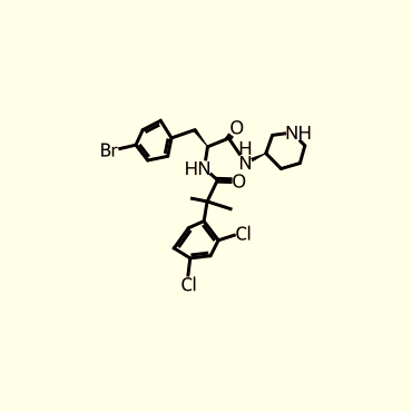 CC(C)(C(=O)N[C@@H](Cc1ccc(Br)cc1)C(=O)N[C@@H]1CCCNC1)c1ccc(Cl)cc1Cl